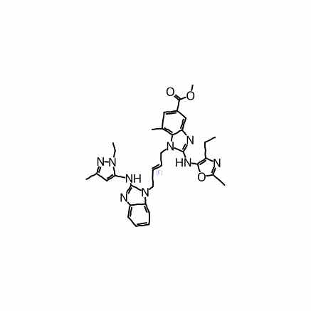 CCc1nc(C)oc1Nc1nc2cc(C(=O)OC)cc(C)c2n1C/C=C/Cn1c(Nc2cc(C)nn2CC)nc2ccccc21